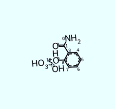 NC(=O)c1ccccc1O.O=S(=O)(O)O